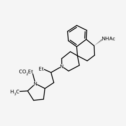 CCOC(=O)N1C(C)CCC1CC(CC)N1CCC2(CC[C@@H](NC(C)=O)c3ccccc32)CC1